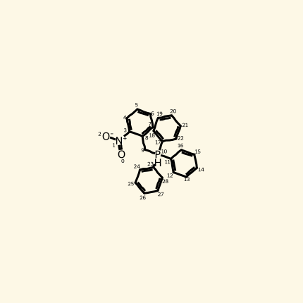 O=[N+]([O-])c1ccccc1C[PH](c1ccccc1)(c1ccccc1)c1ccccc1